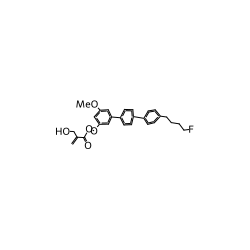 C=C(CO)C(=O)OOc1cc(OC)cc(-c2ccc(-c3ccc(CCCCF)cc3)cc2)c1